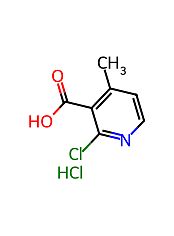 Cc1ccnc(Cl)c1C(=O)O.Cl